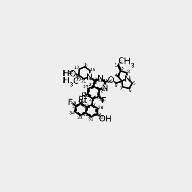 C/C=C1\CN2CCCC2(COc2nc(N3CCC[C@@](C)(O)C3)c3cc(F)c(-c4cc(O)cc5ccc(F)c(CC)c45)c(F)c3n2)C1